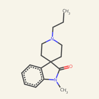 CCCN1CCC2(CC1)C(=O)N(C)c1ccccc12